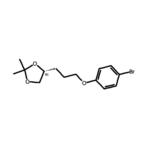 CC1(C)OC[C@@H](CCCOc2ccc(Br)cc2)O1